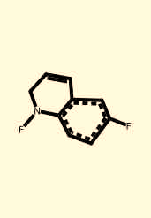 Fc1ccc2c(c1)C=CCN2F